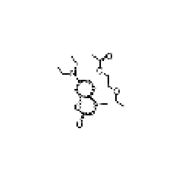 CCN(CC)c1ccc2c(C)cc(=O)oc2c1.CCOCCOC(C)=O